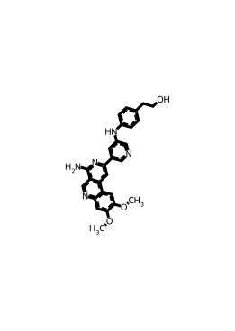 COc1cc2ncc3c(N)nc(-c4cncc(Nc5ccc(CCO)cc5)c4)cc3c2cc1OC